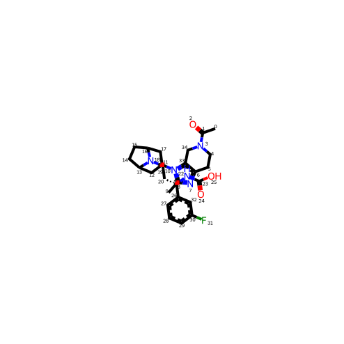 CC(=O)N1CCc2nc(C)n(C3CC4CCC(C3)N4CC[C@H](NC(=O)O)c3cccc(F)c3)c2C1